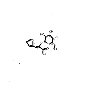 O=C(O)/C(=C/c1cccs1)O[C@H]1O[C@@H](CO)[C@@H](O)[C@@H](O)[C@@H]1O